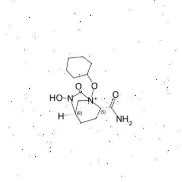 NC(=O)[C@@H]1CC[C@@H]2C[N+]1(OC1CCCCC1)C(=O)N2O